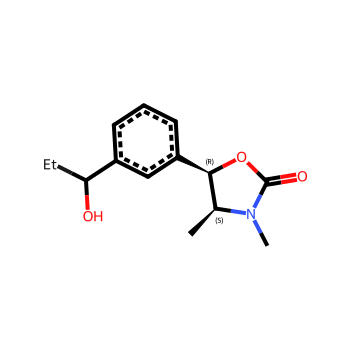 CCC(O)c1cccc([C@H]2OC(=O)N(C)[C@H]2C)c1